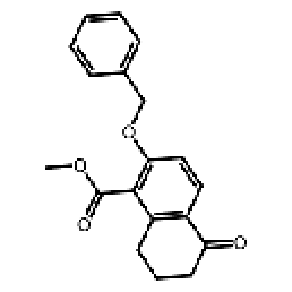 COC(=O)c1c(OCc2ccccc2)ccc2c1CCCC2=O